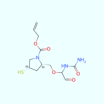 C=CCOC(=O)N1C[C@@H](S)C[C@H]1COC(C=O)NC(N)=O